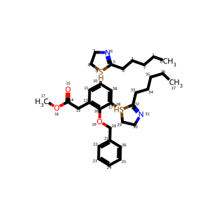 CCCCCC1=NCC[SH]1c1cc(CC(=O)OC)c(OCc2ccccc2)c([SH]2CCN=C2CCCCC)c1